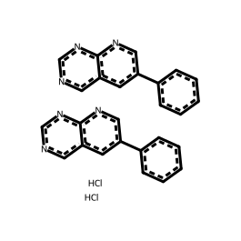 Cl.Cl.c1ccc(-c2cnc3ncncc3c2)cc1.c1ccc(-c2cnc3ncncc3c2)cc1